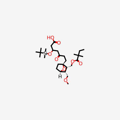 CCC(C)(C)C(=O)OC[C@@H]1[C@H](COC)[C@H]2CC[C@@]1(CCC(=O)CC(CC(=O)O)O[Si](C)(C)C(C)(C)C)O2